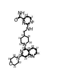 NC(=O)c1ccnc(NCC2CCN(c3nc(N4CCOCC4)cc4ncccc34)CC2)n1